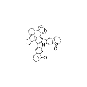 O=C1c2cc3c(cc2C2CCC1CC2)c1c2c4c(c5c6cc7c(cc6n3c15)C(=O)C1CCC7CC1)C13CCC5(CCC1(C5)c1cccc(c1-4)C14CCCC21CCC4)C3